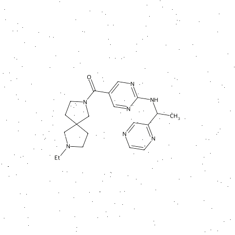 CCN1CCC2(CCN(C(=O)c3cnc(NC(C)c4cnccn4)nc3)C2)C1